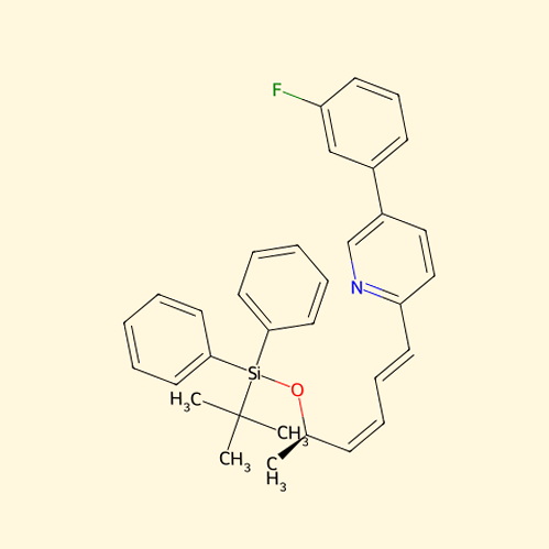 C[C@H](/C=C\C=C\c1ccc(-c2cccc(F)c2)cn1)O[Si](c1ccccc1)(c1ccccc1)C(C)(C)C